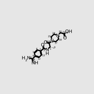 C[C@H](NC(=O)c1ccc(C(=N)N)cc1)C(=O)N1CCN(CC(=O)O)CC1